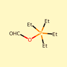 CCP(CC)(CC)(CC)OC=O